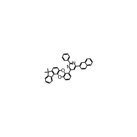 CC1(C)c2ccccc2-c2c1ccc1c2Oc2cccc(-c3cc(-c4ccc5ccccc5c4)nc(-c4ccccc4)n3)c2O1